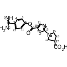 N=C(N)c1ccc(OC(=O)c2cnc(N3CCC(C(=O)O)C3)s2)cc1